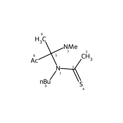 CCCCN(C(C)=S)C(C)(NC)C(C)=O